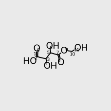 O=C(O)C(O)C(O)C(=O)OCO